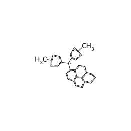 Cc1ccc([C](c2ccc(C)cc2)c2ccc3ccc4cccc5ccc2c3c45)cc1